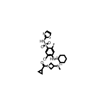 CN(C1CN(C(=O)C2CC2)C1)[C@H]1CCCC[C@@H]1Nc1cc(F)c(S(=O)(=O)Nc2nccs2)cc1Cl